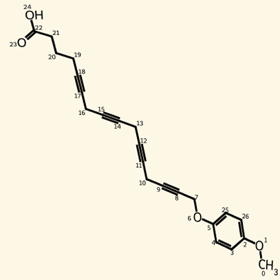 COc1ccc(OCC#CCC#CCC#CCC#CCCCC(=O)O)cc1